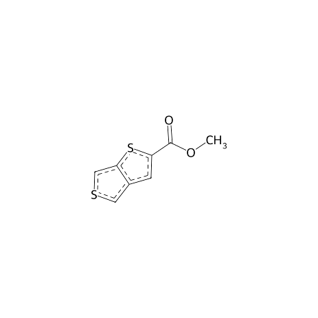 COC(=O)c1cc2cscc2s1